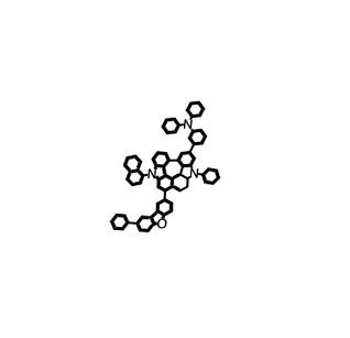 C1=c2c(-c3ccc4oc5ccc(-c6ccccc6)cc5c4c3)cc3c4c2=C2c5c(cc(-c6cccc(N(c7ccccc7)c7ccccc7)c6)cc5N(c5ccccc5)C2C1)-c1cccc(c14)n3-c1cccc2ccccc12